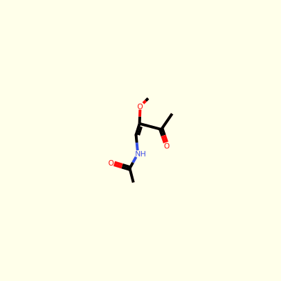 CO/C(=C/NC(C)=O)C(C)=O